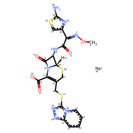 CO/N=C(\C(=O)N[C@@H]1C(=O)N2C(C(=O)[O-])=C(CSc3nnc4ccccn34)CS[C@@H]12)c1csc(N)n1.[Na+]